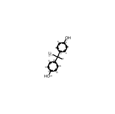 CC(C)(c1ccc(O)cc1)c1ccc(O)cc1.[Li]